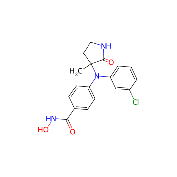 CC1(N(c2ccc(C(=O)NO)cc2)c2cccc(Cl)c2)CCNC1=O